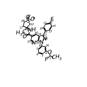 CC(F)Oc1cccc(-n2nc(-c3ccc(F)cc3)c3cc(C(=O)N[C@@]4(C)CCS(=O)(=O)C4)cnc32)c1